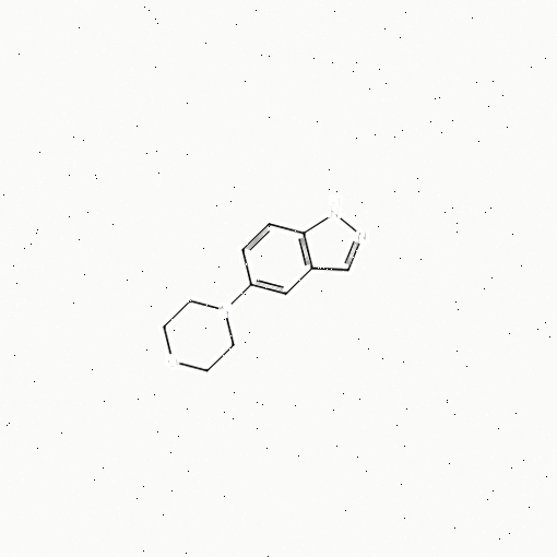 c1cc2[nH]ncc2cc1N1CCOCC1